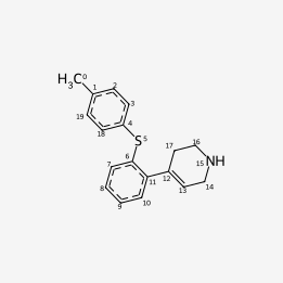 Cc1ccc(Sc2ccccc2C2=CCNCC2)cc1